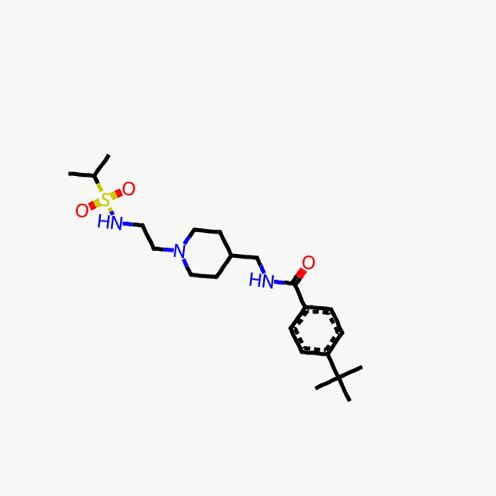 CC(C)S(=O)(=O)NCCN1CCC(CNC(=O)c2ccc(C(C)(C)C)cc2)CC1